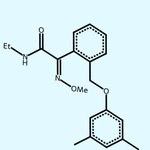 CCNC(=O)/C(=N/OC)c1ccccc1COc1cc(C)cc(C)c1